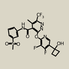 Cc1c(C(F)(F)F)nnc(Oc2ncc(C3(O)CCC3)c(F)c2F)c1C(=O)Nc1cccc(S(C)(=O)=O)c1